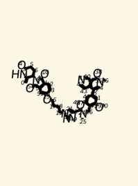 C=C1NC(=O)CCC1N1C(=O)c2ccc(OCCCCn3cc(CN(C)Cc4c(OC)cc(-c5cn(C)c(=O)c6cnccc56)cc4OC)nn3)cc2C1=O